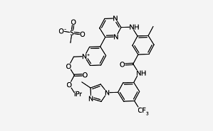 CS(=O)(=O)[O-].Cc1cn(-c2cc(NC(=O)c3ccc(C)c(Nc4nccc(-c5ccc[n+](COC(=O)OC(C)C)c5)n4)c3)cc(C(F)(F)F)c2)cn1